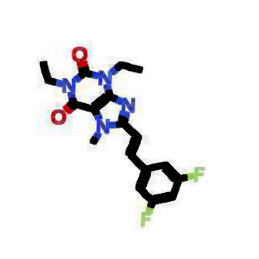 CCn1c(=O)c2c(nc(C=Cc3cc(F)cc(F)c3)n2C)n(CC)c1=O